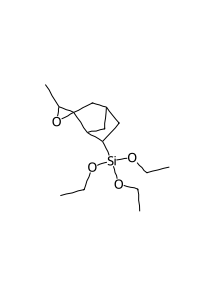 CCO[Si](OCC)(OCC)C1CC2CC1C1(C2)OC1C